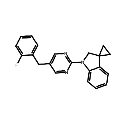 Fc1ccccc1Cc1cnc(N2CC3(CC3)c3cc[c]cc32)nc1